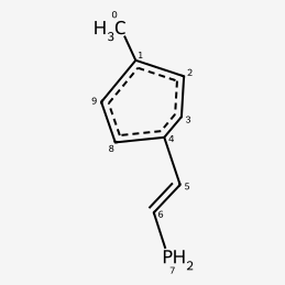 Cc1ccc(/C=C/P)cc1